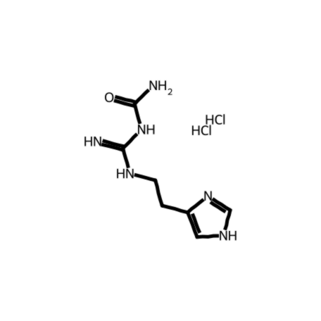 Cl.Cl.N=C(NCCc1c[nH]cn1)NC(N)=O